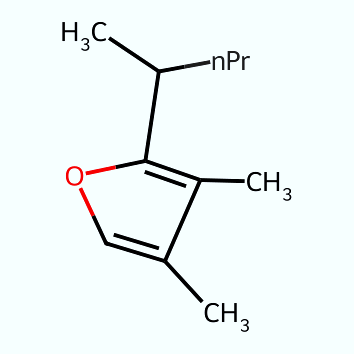 CCCC(C)c1occ(C)c1C